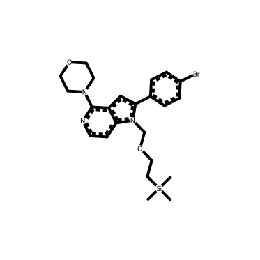 C[Si](C)(C)CCOCn1c(-c2ccc(Br)cc2)cc2c(N3CCOCC3)nccc21